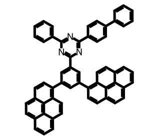 c1ccc(-c2ccc(-c3nc(-c4ccccc4)nc(-c4cc(-c5ccc6ccc7cccc8ccc5c6c78)cc(-c5ccc6ccc7cccc8ccc5c6c78)c4)n3)cc2)cc1